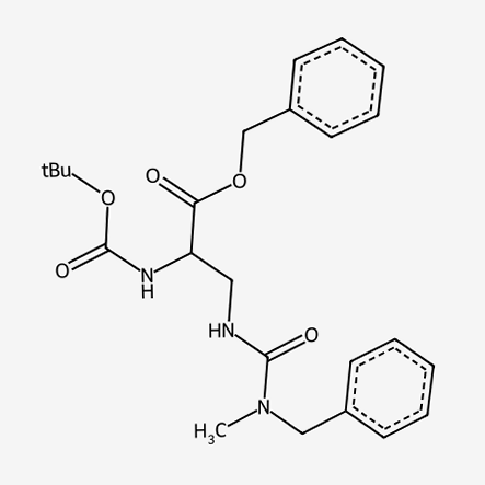 CN(Cc1ccccc1)C(=O)NCC(NC(=O)OC(C)(C)C)C(=O)OCc1ccccc1